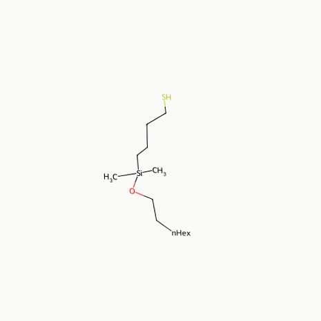 CCCCCCCCO[Si](C)(C)CCCCS